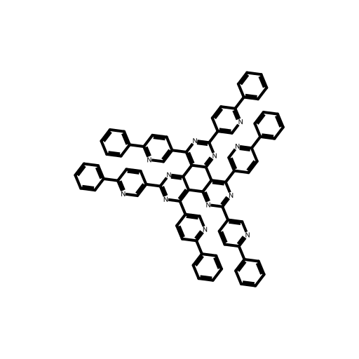 c1ccc(-c2ccc(-c3nc(-c4ccc(-c5ccccc5)nc4)c4c(n3)c3c(-c5ccc(-c6ccccc6)nc5)nc(-c5ccc(-c6ccccc6)nc5)nc3c3c(-c5ccc(-c6ccccc6)nc5)nc(-c5ccc(-c6ccccc6)nc5)nc43)cn2)cc1